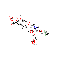 CCOC(Cc1ccc(OCCN(CCOCC(C)(F)F)C(=O)OCCOC)cc1)C(=O)O